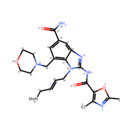 CCc1nc(C)oc1C(=O)Nc1nc2cc(C(N)=O)cc(CN3CCOCC3)c2n1C/C=C/CNC